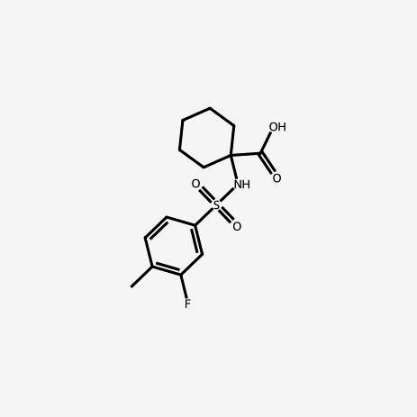 Cc1ccc(S(=O)(=O)NC2(C(=O)O)CCCCC2)cc1F